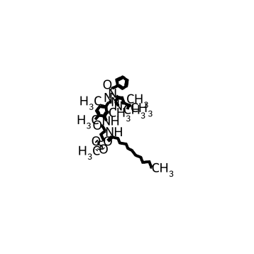 CCCCCCCCCCCC(=O)NC(CCS(C)(=O)=O)C(=O)Nc1c(C)cc(C)c(-c2nn(C(=O)c3ccccc3)c3cc(C(C)(C)C)nn23)c1C